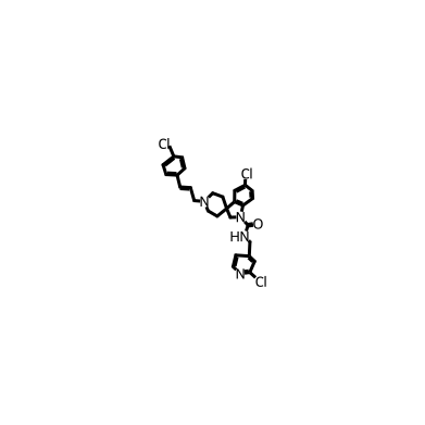 O=C(NCc1ccnc(Cl)c1)N1CC2(CCN(C/C=C/c3ccc(Cl)cc3)CC2)c2cc(Cl)ccc21